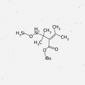 CCC(C)OC(=O)C(=C(C)C)C(C)(C)[SiH2]O[SiH3]